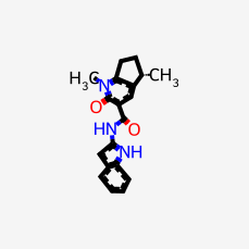 C[C@H]1CCc2c1cc(C(=O)Nc1cc3ccccc3[nH]1)c(=O)n2C